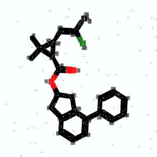 CC1(C)[C@H](C(=O)OC2Cc3cccc(-c4ccccc4)c3C2)[C@@H]1C=C(Cl)C(F)(F)F